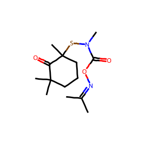 CC(C)=NOC(=O)N(C)SC1(C)CCCC(C)(C)C1=O